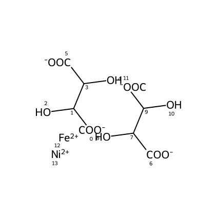 O=C([O-])C(O)C(O)C(=O)[O-].O=C([O-])C(O)C(O)C(=O)[O-].[Fe+2].[Ni+2]